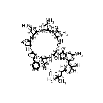 CC(C)C[C@@H]1NC(=O)[C@@H](Cc2ccccc2)NC(=O)[C@H](CCN)NC(=O)[C@@H](NC(=O)[C@H](CCN)NC(=O)[C@@H](NC(=O)CCC(C)(C)N)C(C)O)CCNC(=O)[C@H](C(C)O)NC(=O)[C@H](CCN)NC(=O)[C@H](CCN)NC1=O